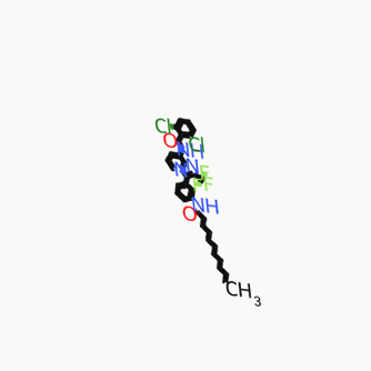 CCCCCCCCCCCC(=O)Nc1cccc(-c2c(C(F)(F)F)nc3c(NC(=O)c4c(Cl)cccc4Cl)cccn23)c1